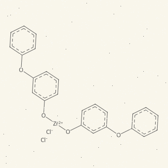 [Cl-].[Cl-].c1ccc(Oc2cccc([O][Zr+2][O]c3cccc(Oc4ccccc4)c3)c2)cc1